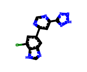 Clc1cc(-c2cc(-c3nn[nH]n3)ncn2)cc2nc[nH]c12